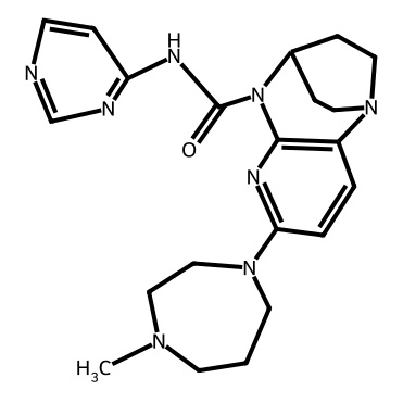 CN1CCCN(c2ccc3c(n2)N(C(=O)Nc2ccncn2)C2CCN3CC2)CC1